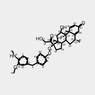 CNc1ccc(Cc2ccc(OOC3(C(=O)CO)CCC4C5C[C@H](F)C6=CC(=O)C=CC6(C)[C@@]5(F)C(O)CC43C)cc2)cc1OC